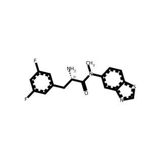 CN(C(=O)[C@@H](N)Cc1cc(F)cc(F)c1)c1ccc2scnc2c1